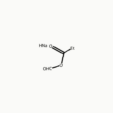 CCC(=O)OC=O.[NaH]